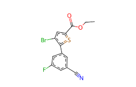 CCOC(=O)c1cc(Br)c(-c2cc(F)cc(C#N)c2)s1